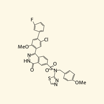 COc1ccc(CN(c2nncs2)S(=O)(=O)c2ccc3c(-c4cc(Cl)c(-c5cccc(F)c5)cc4OC)n[nH]c(=O)c3c2)cc1